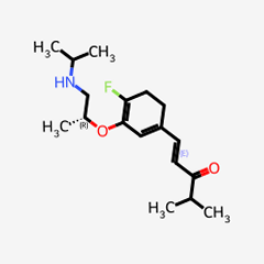 CC(C)NC[C@@H](C)OC1=C(F)CCC(/C=C/C(=O)C(C)C)=C1